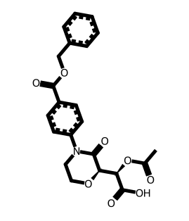 CC(=O)O[C@@H](C(=O)O)[C@H]1OCCN(c2ccc(C(=O)OCc3ccccc3)cc2)C1=O